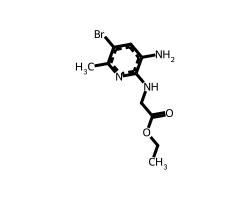 CCOC(=O)CNc1nc(C)c(Br)cc1N